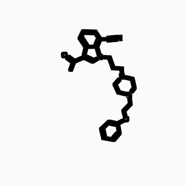 CC(=O)c1cn(CCCN2CCN(CCOc3ccccc3)CC2)c2c(C#N)cccc12